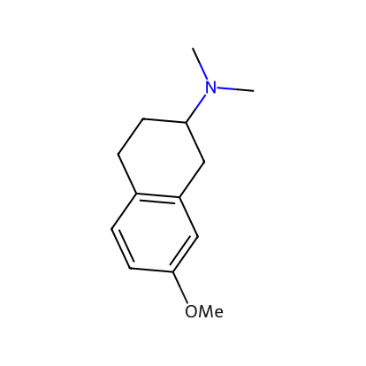 COc1ccc2c(c1)CC(N(C)C)CC2